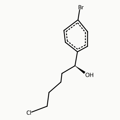 O[C@@H](CCCCCl)c1ccc(Br)cc1